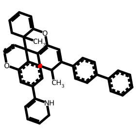 CC1CC2=C(C=C1c1ccc(-c3ccccc3)cc1)OC1=CC=CCC1(C)C21c2ccccc2Oc2cc(C3=CC=CCN3)ccc21